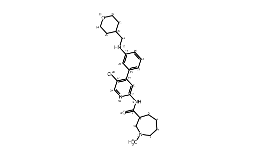 CN1CCCCC(C(=O)Nc2cc(-c3cccc(NCC4CCOCC4)c3)c(Cl)cn2)C1